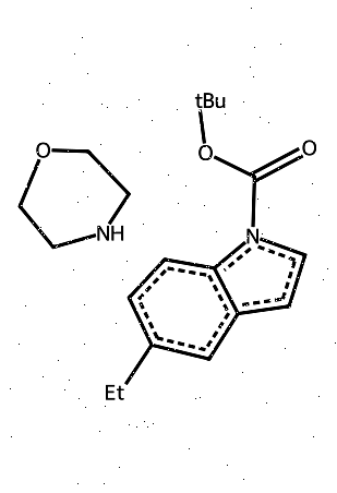 C1COCCN1.CCc1ccc2c(ccn2C(=O)OC(C)(C)C)c1